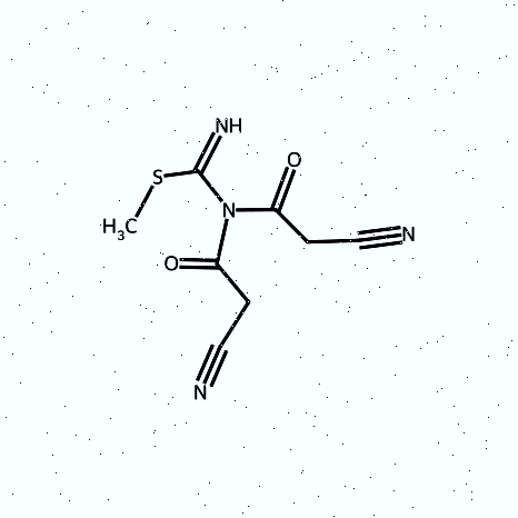 CSC(=N)N(C(=O)CC#N)C(=O)CC#N